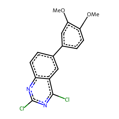 COc1ccc(-c2ccc3nc(Cl)nc(Cl)c3c2)cc1OC